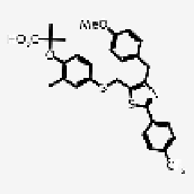 COc1ccc(Cc2nc(-c3ccc(C(F)(F)F)cc3)sc2CSc2ccc(OC(C)(C)C(=O)O)c(C)c2)cc1